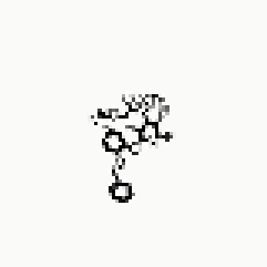 CCOC(=O)C(CO)N(C)c1c(F)c(F)nc(Oc2cc(C#N)ccc2OCc2ccccc2)c1F